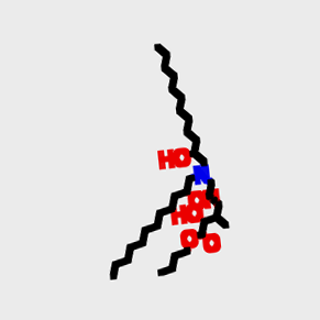 CCCCCCCCCCC(O)CN(CCCC(C)C(O)C(=O)OCCCC)CC(O)CCCCCCCCCC